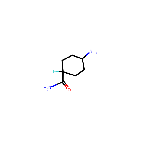 NC(=O)C1(F)CCC(N)CC1